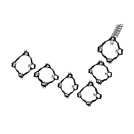 C1=Cc2cc3ccc(cc4nc(cc5ccc(cc1n2)[nH]5)C=C4)[nH]3.C1=Cc2cc3ccc(cc4nc(cc5ccc(cc1n2)[nH]5)C=C4)[nH]3.C1=Cc2cc3ccc(cc4nc(cc5ccc(cc1n2)[nH]5)C=C4)[nH]3.C1=Cc2cc3ccc(cc4nc(cc5ccc(cc1n2)[nH]5)C=C4)[nH]3.C1=Cc2cc3ccc(cc4nc(cc5ccc(cc1n2)[nH]5)C=C4)[nH]3.C1=Cc2cc3ccc(cc4nc(cc5ccc(cc1n2)[nH]5)C=C4)[nH]3.Cl.Cl.Cl.Cl.Cl.Cl